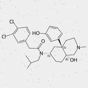 CC(C)CN(C(=O)Cc1ccc(Cl)c(Cl)c1)[C@H]1CC[C@]2(O)CN(C)CC[C@@]2(c2cccc(O)c2)C1